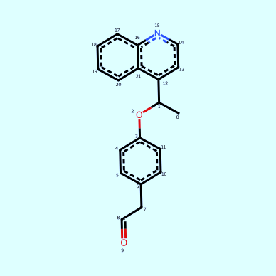 CC(Oc1ccc(C[C]=O)cc1)c1ccnc2ccccc12